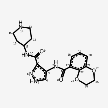 O=C(Nc1c[nH]nc1C(=O)NC1CCNCC1)c1cccc2c1OCCO2